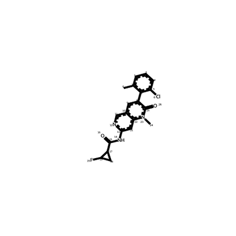 Cc1cccc(Cl)c1-c1cc2cnc(NC(=O)C3CC3F)cc2n(C)c1=O